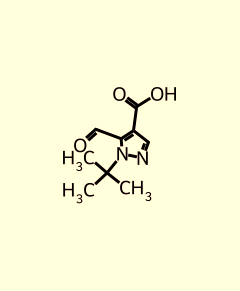 CC(C)(C)n1ncc(C(=O)O)c1C=O